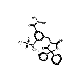 CCCN(CCC)C(=O)c1cc(CN2C(=N)NC(c3ccccc3)(c3ccccc3)C2=O)cc(N(C)S(C)(=O)=O)c1